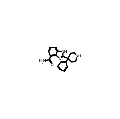 NC(=O)c1cccc2[nH]c(C3(c4ccccc4)CCNCC3)nc12